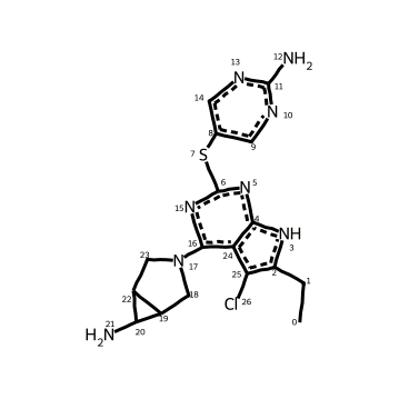 CCc1[nH]c2nc(Sc3cnc(N)nc3)nc(N3CC4C(N)C4C3)c2c1Cl